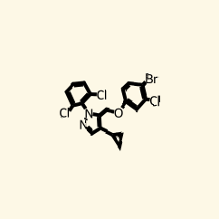 Clc1cc(OCc2c(C3CC3)cnn2-c2c(Cl)cccc2Cl)ccc1Br